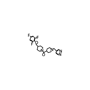 O=C(C1CCN(Cc2ccnnc2)CC1)N1CCC(COc2c(F)cc(F)cc2F)CC1